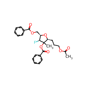 CC(=O)OCCC[C@@H]1O[C@H](COC(=O)c2ccccc2)[C@H](F)C1(C)OC(=O)c1ccccc1